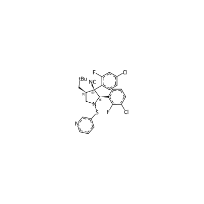 CC(C)(C)C[C@@H]1CN(Sc2cccnc2)[C@H](c2cccc(Cl)c2F)[C@@]1(C#N)c1ccc(Cl)cc1F